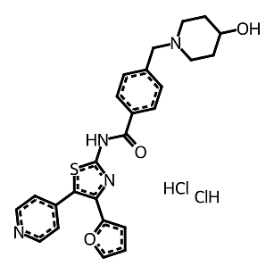 Cl.Cl.O=C(Nc1nc(-c2ccco2)c(-c2ccncc2)s1)c1ccc(CN2CCC(O)CC2)cc1